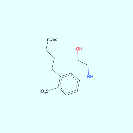 CCCCCCCCCCCCCc1ccccc1S(=O)(=O)O.NCCO